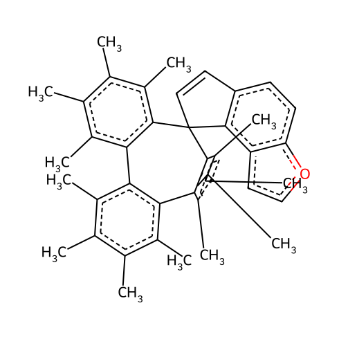 Cc1c(C)c(C)c2c(c1C)-c1c(C)c(C)c(C)c(C)c1C1(C=Cc3ccc4occc4c31)c1c(C)c(C)c(C)c(C)c1-2